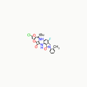 Cc1ccccc1N1Cc2c(F)ccc(Nc3c(N[C@@H](c4ccc(Cl)o4)C(C)(C)C)c(=O)c3=O)c2C1=O